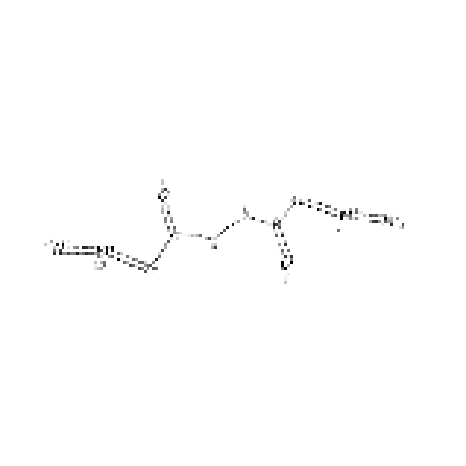 [N-]=[N+]=CC(=O)CCC(=O)C=[N+]=[N-]